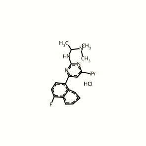 CC(C)c1cc(-c2ccc(F)c3ccccc23)nc(NC(C)N(C)C)n1.Cl